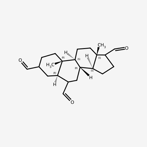 C[C@]12CCC(C=O)C[C@@H]1C(C=O)C[C@@H]1[C@@H]2CC[C@]2(C)C(C=O)CC[C@@H]12